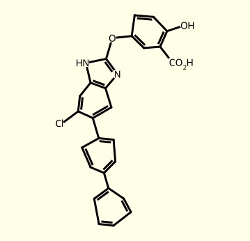 O=C(O)c1cc(Oc2nc3cc(-c4ccc(-c5ccccc5)cc4)c(Cl)cc3[nH]2)ccc1O